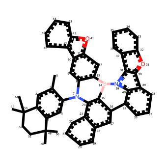 Cc1cc2c(cc1N1c3cc4c(cc3B3c5c(cc6ccccc6c51)-c1cccc5c6oc7ccccc7c6n3c15)oc1ccccc14)C(C)(C)CCC2(C)C